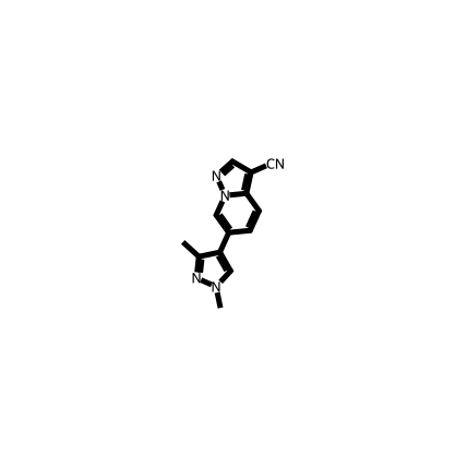 Cc1nn(C)cc1-c1ccc2c(C#N)cnn2c1